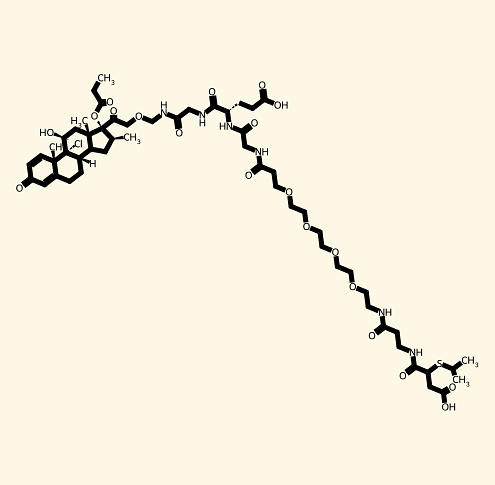 CCC(=O)O[C@]1(C(=O)COCNC(=O)CNC(=O)[C@H](CCC(=O)O)NC(=O)CNC(=O)CCOCCOCCOCCOCCNC(=O)CCNC(=O)C(CC(=O)O)SC(C)C)[C@@H](C)CC2[C@@H]3CCC4=CC(=O)C=C[C@]4(C)[C@@]3(Cl)[C@@H](O)C[C@@]21C